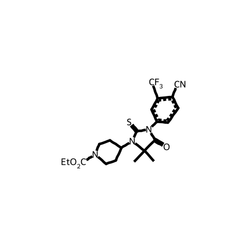 CCOC(=O)N1CCC(N2C(=S)N(c3ccc(C#N)c(C(F)(F)F)c3)C(=O)C2(C)C)CC1